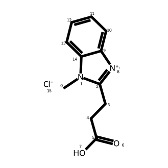 CN1C(CCC(=O)O)=[N+]c2ccccc21.[Cl-]